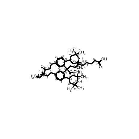 C=CC(=O)CCc1ccc(C2CC(C)(C)NC(C)(C)C2)c(C(CCCCCCCC(=O)O)(C(=O)O)c2cc(CCC(=O)C=C)ccc2C2CC(C)(C)NC(C)(C)C2)c1